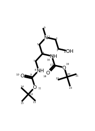 CN(CCO)CC(CNC(=O)OC(C)(C)C)NC(=O)OC(C)(C)C